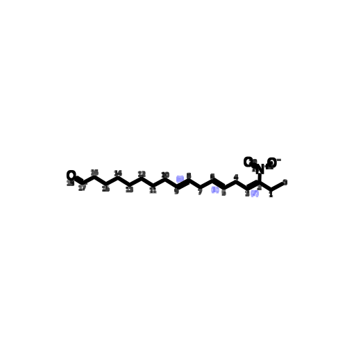 CC/C(=C/C/C=C/C/C=C/CCCCCCC[C]=O)[N+](=O)[O-]